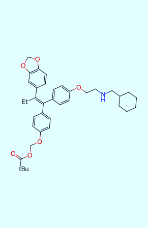 CC/C(=C(/c1ccc(OCCNCC2CCCCC2)cc1)c1ccc(OCOC(=O)C(C)(C)C)cc1)c1ccc2c(c1)OCO2